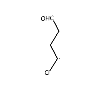 O=CCC[CH]Cl